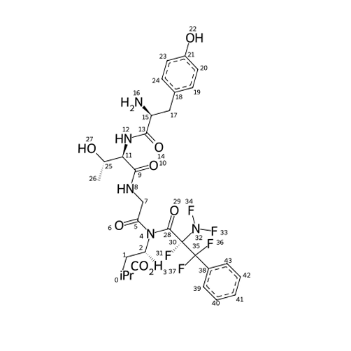 CC(C)C[C@@H](C(=O)O)N(C(=O)CNC(=O)[C@H](NC(=O)[C@@H](N)Cc1ccc(O)cc1)[C@H](C)O)C(=O)[C@@](F)(N(F)F)C(F)(F)c1ccccc1